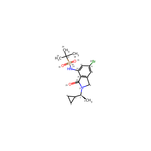 C[C@@H](C1CC1)N1Cc2cc(Br)cc(NS(=O)(=O)C(C)(C)C)c2C1=O